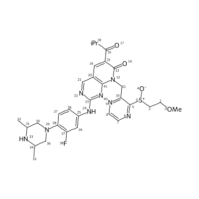 COCC[S+]([O-])c1nccnc1Cn1c(=O)c(C(=O)C(C)C)cc2cnc(Nc3ccc(N4CC(C)NC(C)C4)c(F)c3)nc21